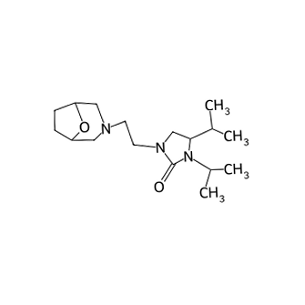 CC(C)C1CN(CCN2CC3CCC(C2)O3)C(=O)N1C(C)C